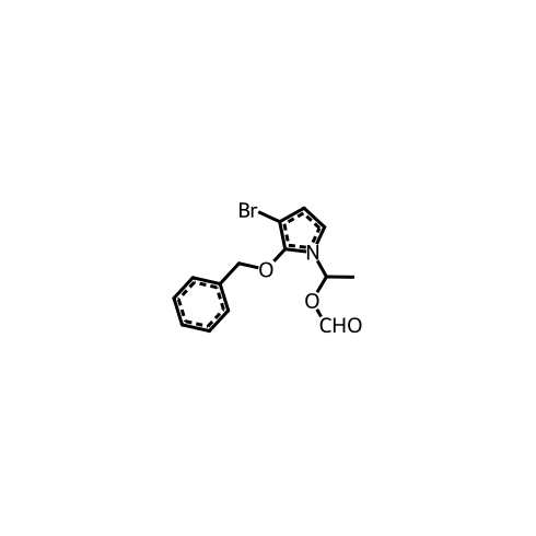 CC(OC=O)n1ccc(Br)c1OCc1ccccc1